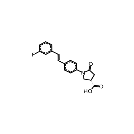 O=C(O)[C@H]1CC(=O)N(c2ccc(/C=C/c3cccc(F)c3)cc2)C1